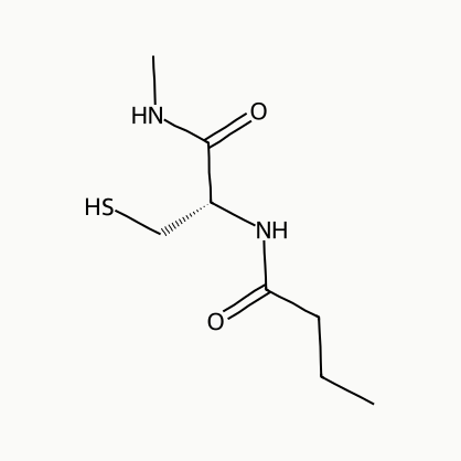 CCCC(=O)N[C@H](CS)C(=O)NC